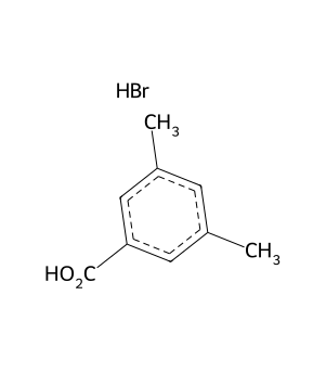 Br.Cc1cc(C)cc(C(=O)O)c1